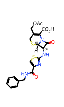 CC(=O)OCC1=C(C(=O)O)N2C(=O)[C@H](Nc3nc(C(=O)NCc4ccccc4)cs3)[C@@H]2SC1